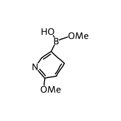 COB(O)c1ccc(OC)nc1